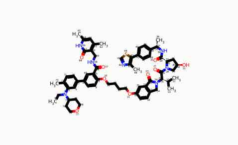 CCN(c1cc(-c2ccc(OCCCCOc3ccc4c(c3)C(=O)N([C@H](C(=O)N3C[C@H](O)C[C@H]3C(=O)N[C@@H](C)c3ccc(-c5scnc5C)cc3)C(C)C)C4)c(C(=O)NCc3c(C)cc(C)[nH]c3=O)c2)ccc1C)C1CCOCC1